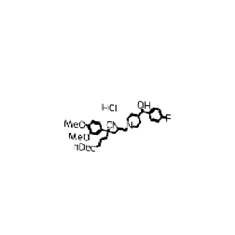 CCCCCCCCCCCCCC(C#N)(CCCN1CCC(C(O)c2ccc(F)cc2)CC1)c1ccc(OC)c(OC)c1.Cl